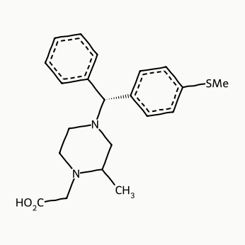 CSc1ccc([C@@H](c2ccccc2)N2CCN(CC(=O)O)C(C)C2)cc1